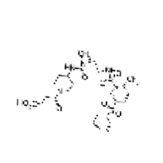 CN(CCNS(=O)(=O)c1cc(S(=O)(=O)c2ccccc2)ccc1C(F)(F)F)C(=O)NC1CCN(C(=O)CCC(=O)O)CC1